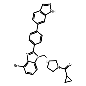 O=C(C1CC1)N1CC[C@H](Cn2c(-c3ccc(-c4ccc5cn[nH]c5c4)cc3)nc3c(Br)cccc32)C1